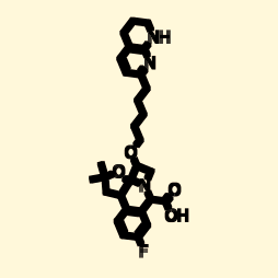 CC1(C)CC(c2ccc(F)cc2C(C(=O)O)N2CC(OCCCCCc3ccc4c(n3)NCCC4)C2)CO1